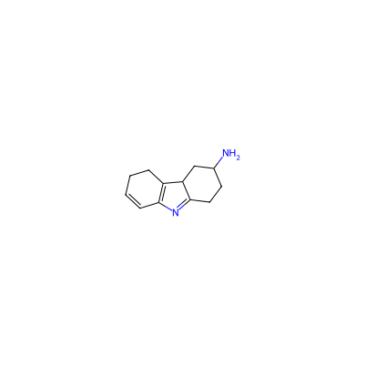 NC1CCC2=NC3=C(CCC=C3)C2C1